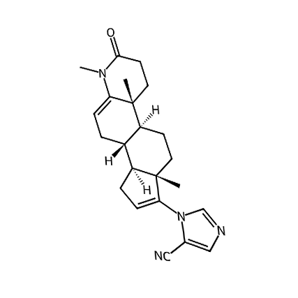 CN1C(=O)CC[C@@]2(C)C1=CC[C@@H]1[C@@H]2CC[C@]2(C)C(n3cncc3C#N)=CC[C@@H]12